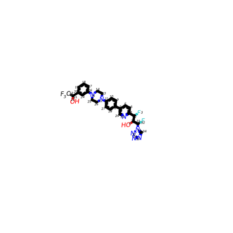 OC(C(F)c1ccc(-c2ccc(N3CCN(c4cccc(C(O)C(F)(F)F)c4)CC3)cc2)cn1)C(F)n1cnnn1